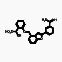 N=C(N)c1cccc(-c2cc3c(COc4ccccc4C(O)C(=O)O)cccc3o2)c1